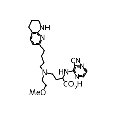 COCCN(CCCCc1ccc2c(n1)NCCC2)CCC(Nc1nccnc1C#N)C(=O)O